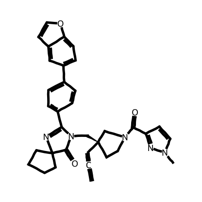 C=C=C[C@@]1(CN2C(=O)C3(CCCC3)N=C2c2ccc(-c3ccc4occc4c3)cc2)CCN(C(=O)c2ccn(C)n2)C1